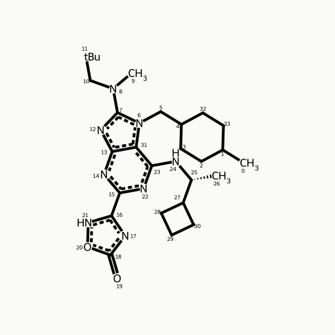 CC1CCC(Cn2c(N(C)CC(C)(C)C)nc3nc(-c4nc(=O)o[nH]4)nc(N[C@H](C)C4CCC4)c32)CC1